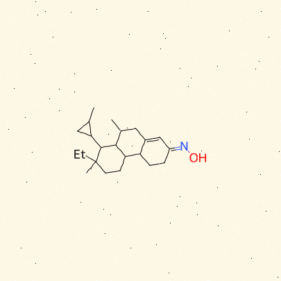 CCC1(C)CCC2C3CC/C(=N\O)C=C3CC(C)C2C1C1CC1C